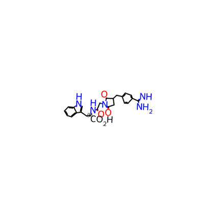 N=C(N)c1ccc(CC2CC(=O)N(CC(=O)N[C@@H](Cc3c[nH]c4ccccc34)C(=O)O)C2=O)cc1